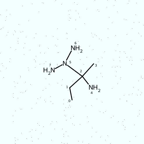 CCC(C)(N)N(N)N